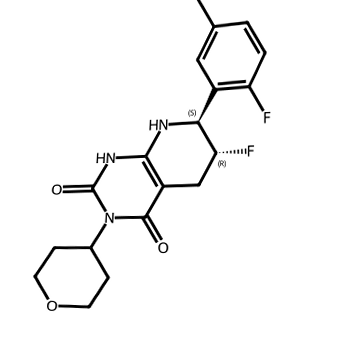 Cc1ccc(F)c([C@@H]2Nc3[nH]c(=O)n(C4CCOCC4)c(=O)c3C[C@H]2F)c1